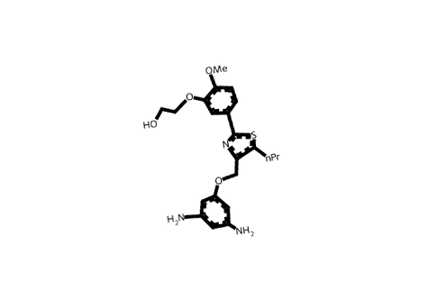 CCCc1sc(-c2ccc(OC)c(OCCO)c2)nc1COc1cc(N)cc(N)c1